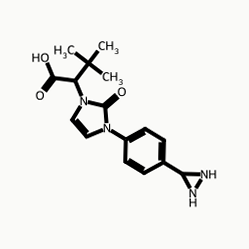 CC(C)(C)C(C(=O)O)n1ccn(-c2ccc(C3NN3)cc2)c1=O